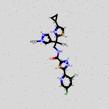 Cn1cc(C(C)(CNC(=O)c2nnc(-c3ncc(F)cc3F)s2)c2nc(C3CC3)cs2)cn1